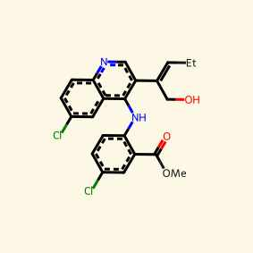 CC/C=C(\CO)c1cnc2ccc(Cl)cc2c1Nc1ccc(Cl)cc1C(=O)OC